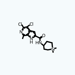 Cc1nc(Cl)c(Cl)c2cc(C(=O)NC3CC[Si](C)(C)CC3)[nH]c12